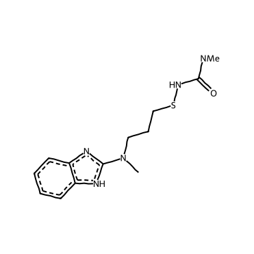 CNC(=O)NSCCCN(C)c1nc2ccccc2[nH]1